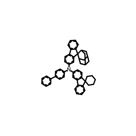 c1ccc(-c2ccc(N(c3ccc4c(c3)-c3ccccc3C43CCCCC3)c3ccc4c(c3)C3(c5ccccc5-4)C4CC5CC(C4)CC3C5)cc2)cc1